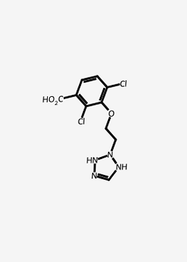 O=C(O)c1ccc(Cl)c(OCCN2NC=NN2)c1Cl